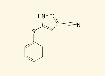 N#Cc1c[nH]c(Sc2ccccc2)c1